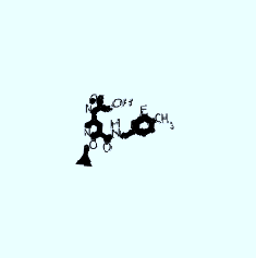 Cc1ccc(CNC(=O)c2cc(-c3nocc3CO)cnc2OCC2CC2)cc1F